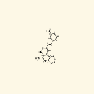 Nc1nc2ccccc2c2cc(C=Cc3cccc(C(F)(F)F)c3)cnc12